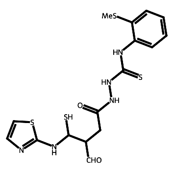 CSc1ccccc1NC(=S)NNC(=O)CC(C=O)C(S)Nc1nccs1